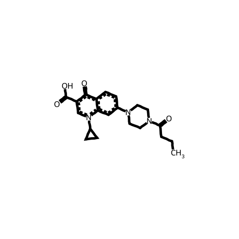 CCCC(=O)N1CCN(c2ccc3c(=O)c(C(=O)O)cn(C4CC4)c3c2)CC1